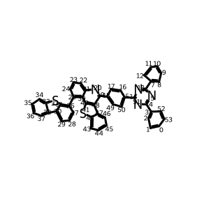 c1ccc(-c2nc(-c3ccccc3)nc(-c3ccc(-c4nc5cccc(-c6cccc7c6sc6ccccc67)c5c5sc6ccccc6c45)cc3)n2)cc1